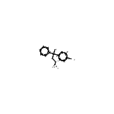 CC(CCN)(c1ccccc1)c1ccc(F)cc1